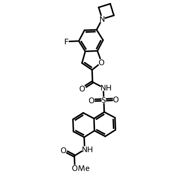 COC(=O)Nc1cccc2c(S(=O)(=O)NC(=O)c3cc4c(F)cc(N5CCC5)cc4o3)cccc12